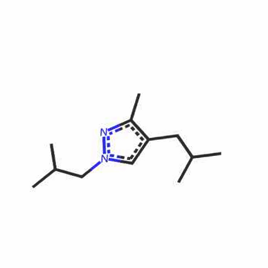 Cc1nn(CC(C)C)cc1CC(C)C